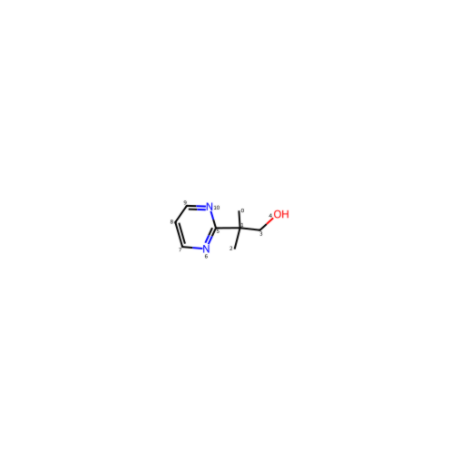 CC(C)(CO)c1ncccn1